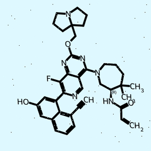 C#Cc1cccc2cc(O)cc(-c3ncc4c(N5CCCC(C)(C)[C@@H](NC(=O)C=C)C5)nc(OCC56CCCN5CCC6)nc4c3F)c12